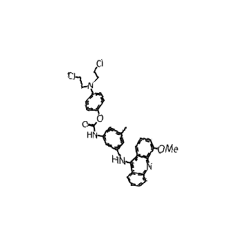 COc1cccc2c(Nc3cc(C)cc(NC(=O)Oc4ccc(N(CCCl)CCCl)cc4)c3)c3ccccc3nc12